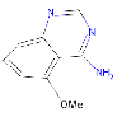 COc1cccc2ncnc(N)c12